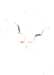 CC=COP(=O)(Cl)OC=CC